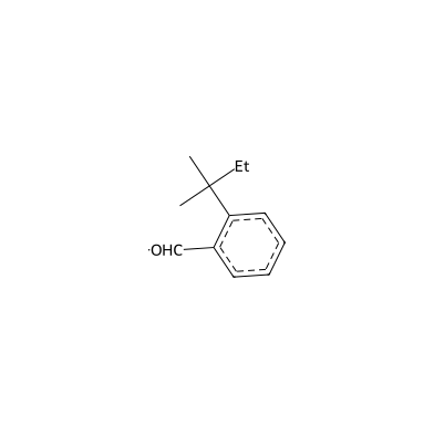 CCC(C)(C)c1ccccc1[C]=O